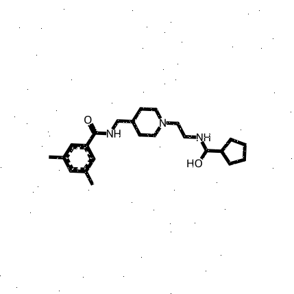 Cc1cc(C)cc(C(=O)NCC2CCN(CCNC(O)C3CCCC3)CC2)c1